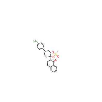 CS(=O)(=O)OC1(C2CCc3ccccc3C2=O)CCC(c2ccc(Cl)cc2)CC1